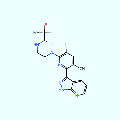 CC(C)[C@@](C)(O)[C@@H]1CN(c2nc(-c3n[nH]c4ncccc34)c(C#N)cc2F)CCN1